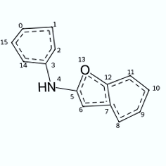 c1ccc(Nc2cc3ccccc3o2)cc1